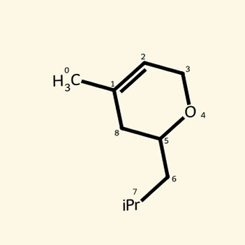 CC1=CCOC(CC(C)C)C1